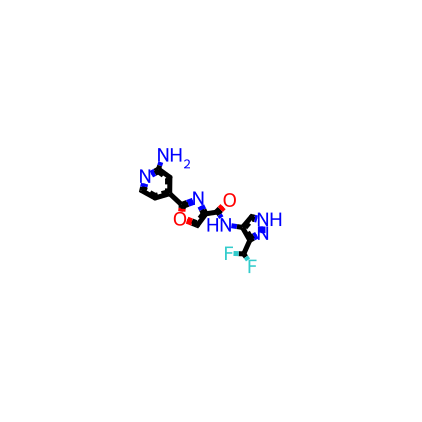 Nc1cc(-c2nc(C(=O)Nc3c[nH]nc3C(F)F)co2)ccn1